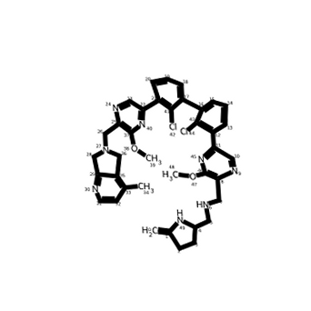 C=C1CCC(CNCc2ncc(-c3cccc(-c4cccc(-c5cnc(CN6Cc7nccc(C)c7C6)c(OC)n5)c4Cl)c3Cl)nc2OC)N1